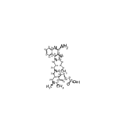 CCCCc1nc2c(N)nc3ccccc3c2n1CCCN(CCCN(C)CC)Cc1cccc(CC(=O)O)c1